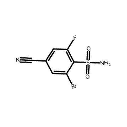 N#Cc1cc(F)c(S(N)(=O)=O)c(Br)c1